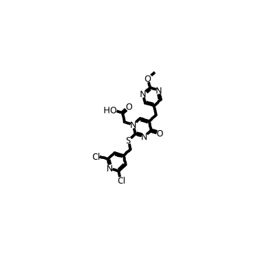 COc1ncc(Cc2cn(CC(=O)O)c(SCc3cc(Cl)nc(Cl)c3)nc2=O)cn1